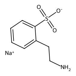 NCCc1ccccc1S(=O)(=O)[O-].[Na+]